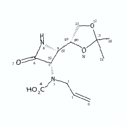 C=CCN(C(=O)O)[C@@H]1C(=O)N[C@@H]1[C@@H]1COC(C)(C)O1